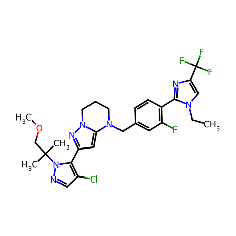 CCn1cc(C(F)(F)F)nc1-c1ccc(CN2CCCn3nc(-c4c(Cl)cnn4C(C)(C)COC)cc32)cc1F